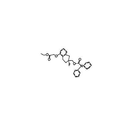 CCOC(=O)COc1cccc2c1CCC(F)(COC(=O)N(c1ccccc1)c1ccccc1)C2